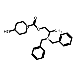 CC(COC(=O)N1CCC(O)CC1)N(Cc1ccccc1)Cc1ccccc1